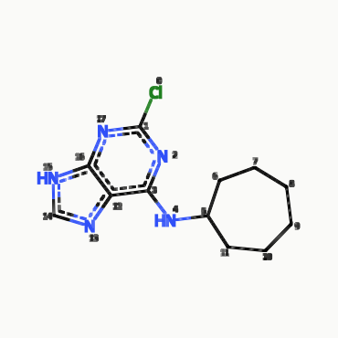 Clc1nc(NC2CCCCCC2)c2nc[nH]c2n1